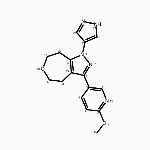 COc1ccc(-c2nn(-c3cn[nH]c3)c3c2CCOCC3)cn1